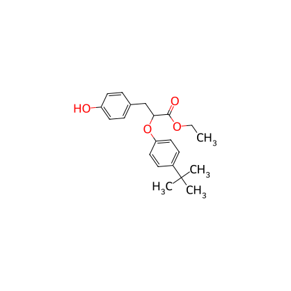 CCOC(=O)C(Cc1ccc(O)cc1)Oc1ccc(C(C)(C)C)cc1